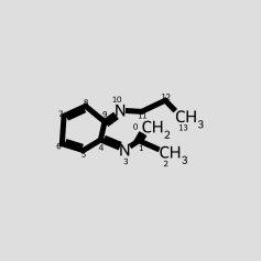 C=C(C)/N=C1/C=CC=C/C1=N/CCC